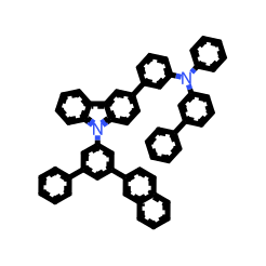 c1ccc(-c2cccc(N(c3ccccc3)c3cccc(-c4ccc5c(c4)c4ccccc4n5-c4cc(-c5ccccc5)cc(-c5ccc6ccccc6c5)c4)c3)c2)cc1